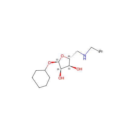 CC(C)CNC[C@H]1O[C@H](OC2CCCCC2)[C@H](O)[C@@H]1O